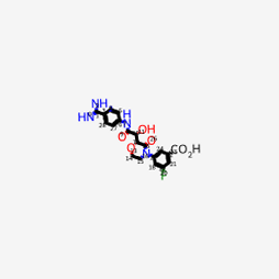 N=C(N)c1ccc(NC(=O)[C@H](O)[C@H]2OCCN(c3cc(F)cc(C(=O)O)c3)C2=O)cc1